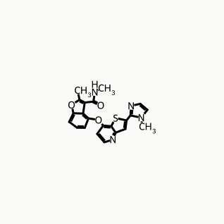 CNC(=O)c1c(C)oc2cccc(Oc3ccnc4cc(-c5nccn5C)sc34)c12